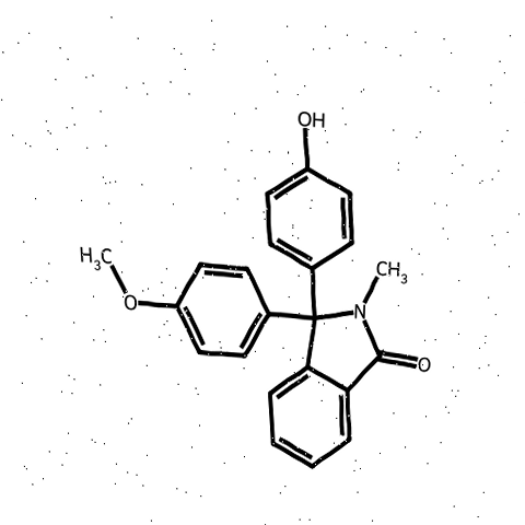 COc1ccc(C2(c3ccc(O)cc3)c3ccccc3C(=O)N2C)cc1